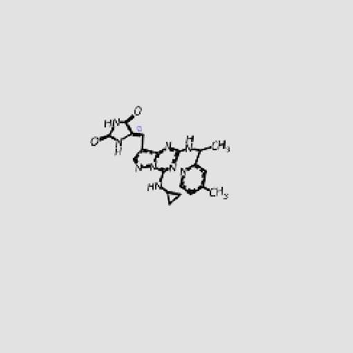 Cc1ccnc(C(C)Nc2nc(NC3CC3)n3ncc(/C=C4\NC(=O)NC4=O)c3n2)c1